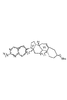 CC(C)(C)O[C@H]1CC[C@@]2(C)C(=CC[C@H]3[C@@H]4CC[C@H](c5ccc6nc(N)ncc6c5)[C@@]4(C)CC[C@@H]32)C1